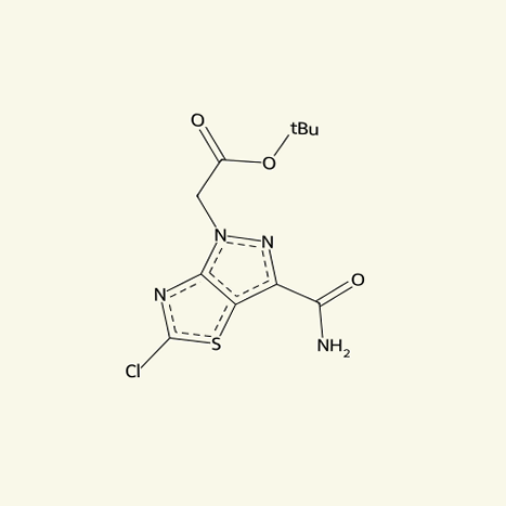 CC(C)(C)OC(=O)Cn1nc(C(N)=O)c2sc(Cl)nc21